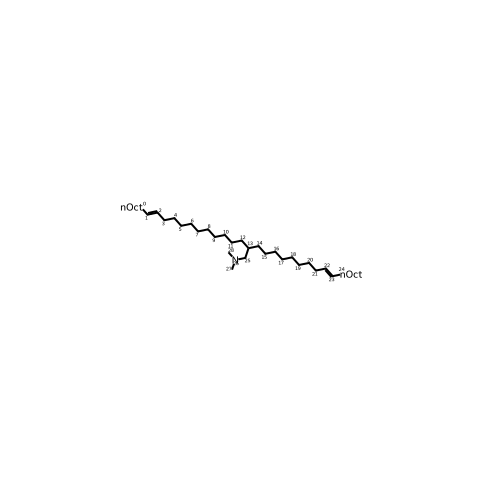 CCCCCCCCC=CCCCCCCCCCCC(CCCCCCCC/C=C/CCCCCCCC)CN(C)C